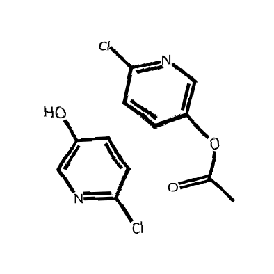 CC(=O)Oc1ccc(Cl)nc1.Oc1ccc(Cl)nc1